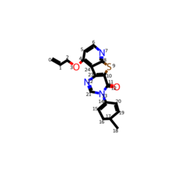 C=CCOc1ccnc2sc3c(=O)n(C4=CCC(C)C=C4)cnc3c12